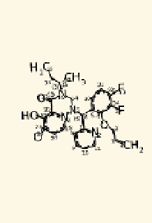 C=CCOc1c([C@@H](c2ccccn2)N2CN([C@@H](C)CC)C(=O)c3c(O)c(=O)ccn32)ccc(F)c1F